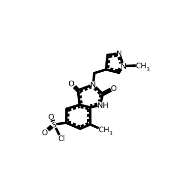 Cc1cc(S(=O)(=O)Cl)cc2c(=O)n(Cc3cnn(C)c3)c(=O)[nH]c12